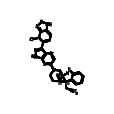 NC[C@]1(c2ccccc2F)[C@@H]2CCN(c3cnc4c(C5=CC=C6NSN=C6C5Cl)n[nH]c4n3)C[C@@H]21